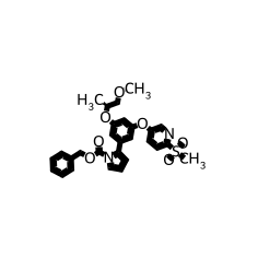 COC[C@H](C)Oc1cc(Oc2ccc(S(C)(=O)=O)nc2)cc(-c2cccn2C(=O)OCc2ccccc2)c1